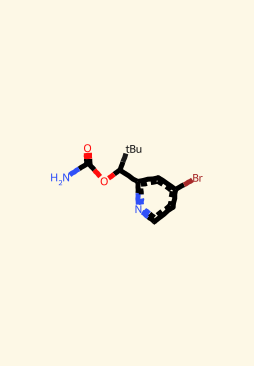 CC(C)(C)C(OC(N)=O)c1cc(Br)ccn1